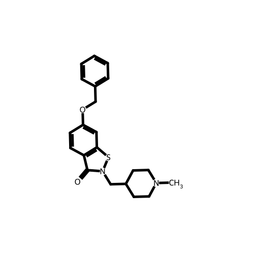 CN1CCC(Cn2sc3cc(OCc4ccccc4)ccc3c2=O)CC1